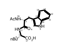 CCCC[C@H](NC(=O)[C@@H](Cc1c[nH]c2ccccc12)NC(C)=O)C(=O)O